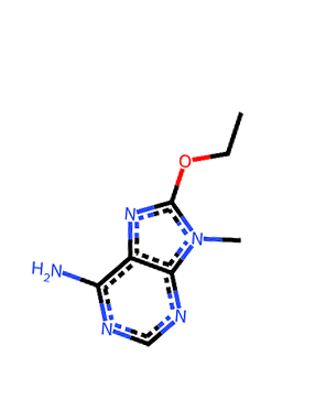 CCOc1nc2c(N)ncnc2n1C